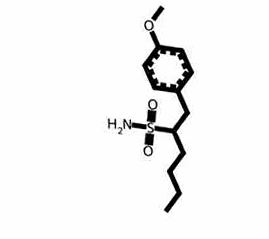 CCCCC(Cc1ccc(OC)cc1)S(N)(=O)=O